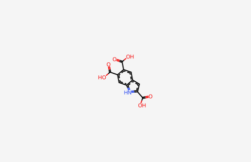 O=C(O)c1cc2cc(C(=O)O)c(C(=O)O)cc2[nH]1